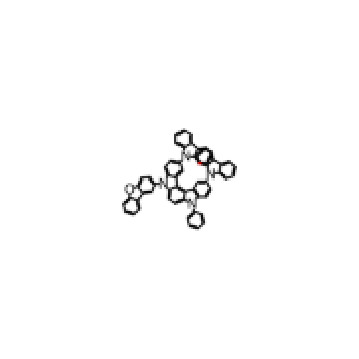 c1ccc(-n2c3ccc(-n4c5ccccc5c5ccccc54)cc3c3c4c5cc(-n6c7ccccc7c7ccccc76)ccc5n(-c5ccc6oc7ccccc7c6c5)c4ccc32)cc1